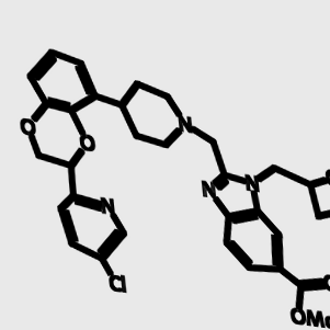 COC(=O)c1ccc2nc(CN3CCC(c4cccc5c4OC(c4ccc(Cl)cn4)CO5)CC3)n(CC3CCO3)c2c1